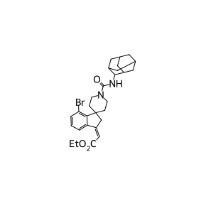 CCOC(=O)/C=C1/CC2(CCN(C(=O)NC3C4CC5CC(C4)CC3C5)CC2)c2c(Br)cccc21